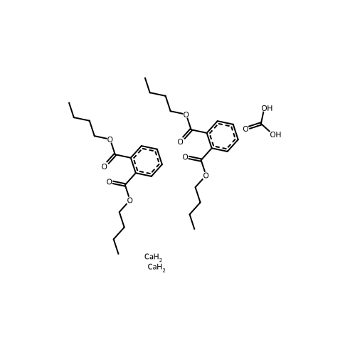 CCCCOC(=O)c1ccccc1C(=O)OCCCC.CCCCOC(=O)c1ccccc1C(=O)OCCCC.O=C(O)O.[CaH2].[CaH2]